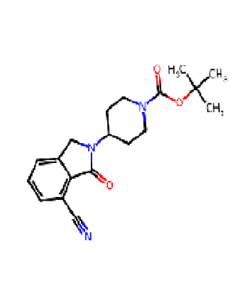 CC(C)(C)OC(=O)N1CCC(N2Cc3cccc(C#N)c3C2=O)CC1